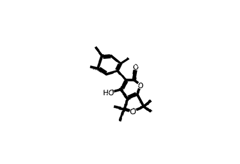 Cc1cc(C)c(-c2c(O)c3c(oc2=O)C(C)(C)OC3(C)C)cc1C